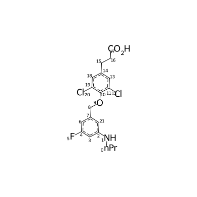 CCCNc1cc(F)cc(COc2c(Cl)cc(CCC(=O)O)cc2Cl)c1